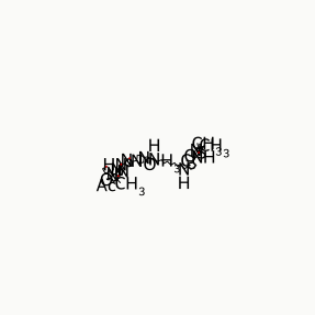 CC(=O)c1c(C)c2cnc(Nc3ccc(N4CCN(CC(=O)NCCCCCCCCNc5cccc(C(=O)Nc6nc(C)c(C)s6)c5C)CC4)cn3)nc2n(C2CCCC2)c1=O